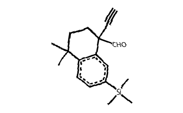 C#CC1(C=O)CCC(C)(C)c2ccc([Si](C)(C)C)cc21